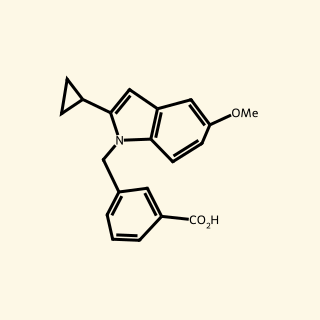 COc1ccc2c(c1)cc(C1CC1)n2Cc1cccc(C(=O)O)c1